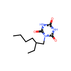 CCCCC(CC)Cn1c(=O)[nH]c(=O)[nH]c1=O